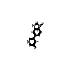 Cc1cncc(-c2ccc3c(c2)ncn3C)c1